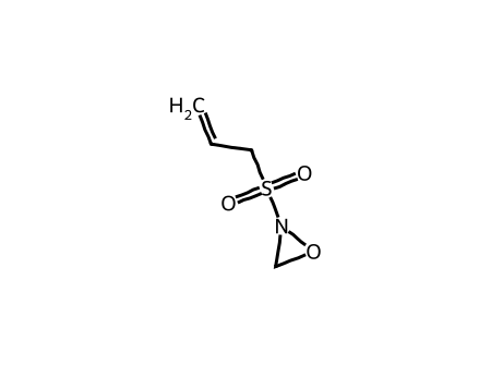 C=CCS(=O)(=O)N1CO1